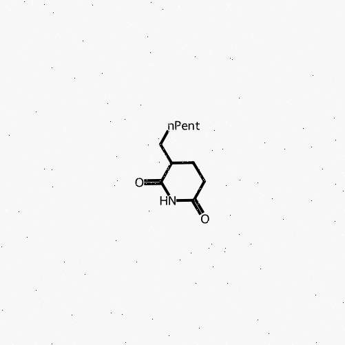 CCCCCCC1CCC(=O)NC1=O